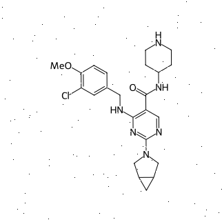 COc1ccc(CNc2nc(N3CC4CC4C3)ncc2C(=O)NC2CCNCC2)cc1Cl